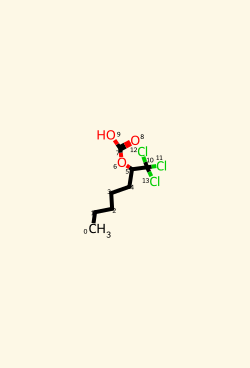 CCCCCC(OC(=O)O)C(Cl)(Cl)Cl